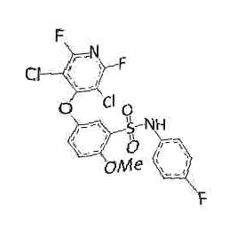 COc1ccc(Oc2c(Cl)c(F)nc(F)c2Cl)cc1S(=O)(=O)Nc1ccc(F)cc1